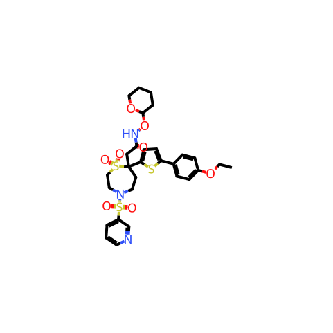 CCOc1ccc(-c2ccc(C3(CC(=O)NOC4CCCCO4)CCN(S(=O)(=O)c4cccnc4)CCS3(=O)=O)s2)cc1